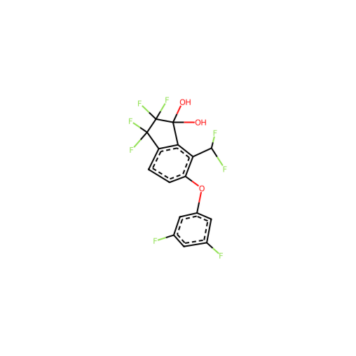 OC1(O)c2c(ccc(Oc3cc(F)cc(F)c3)c2C(F)F)C(F)(F)C1(F)F